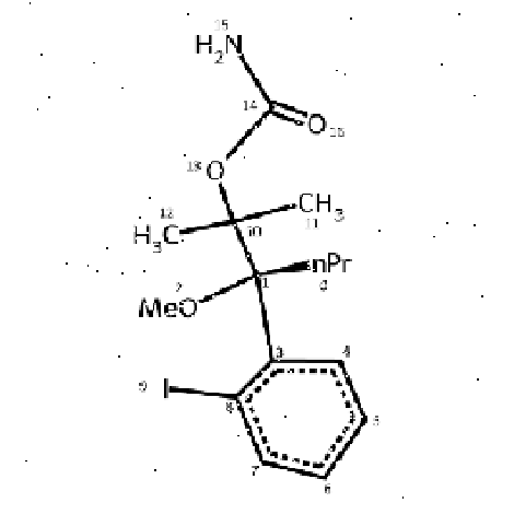 CCC[C@](OC)(c1ccccc1I)C(C)(C)OC(N)=O